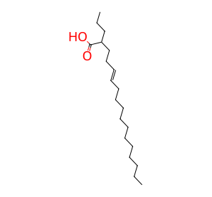 CCCCCCCCCCC/C=C/CCC(CCC)C(=O)O